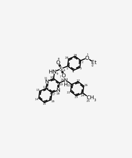 CCOc1ccc(S(=O)(=O)Nc2nc3ccccc3nc2Nc2ccc(C)cc2)cc1